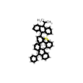 CC(C)c1c2ccccc2c(-c2cccc3c2sc2cccc(-c4c5ccccc5c(-c5ccccc5)c5ccccc45)c23)c2ccccc12